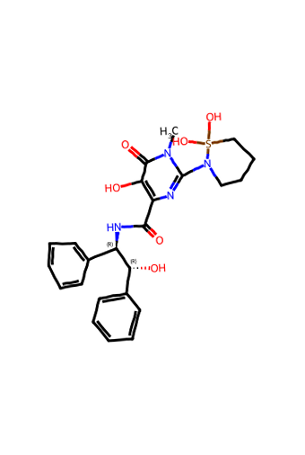 Cn1c(N2CCCCS2(O)O)nc(C(=O)N[C@H](c2ccccc2)[C@H](O)c2ccccc2)c(O)c1=O